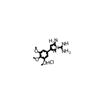 COc1cc(-c2cc(N)n(C(=N)N)n2)cc(OC)c1OC.Cl